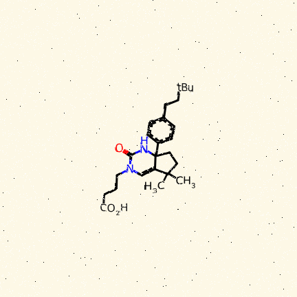 CC(C)(C)CCc1ccc(C23CCC(C)(C)C2=CN(CCCC(=O)O)C(=O)N3)cc1